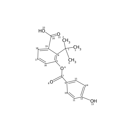 CC(C)(C)c1c(OC(=O)c2ccc(O)cc2)cccc1C(=O)O